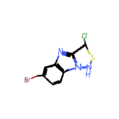 ClC1SNn2c1nc1cc(Br)ccc12